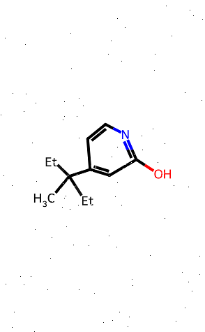 CCC(C)(CC)c1ccnc(O)c1